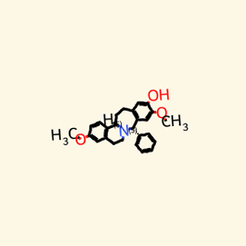 COc1ccc2c(c1)CCN1[C@@H](c3ccccc3)c3cc(OC)c(O)cc3CC[C@@H]21